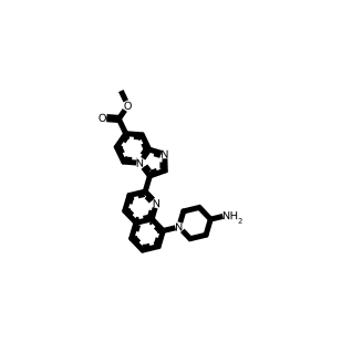 COC(=O)c1ccn2c(-c3ccc4cccc(N5CCC(N)CC5)c4n3)cnc2c1